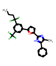 CCCC(F)(F)c1cc(-c2ccc(-c3nc(C)c(-c4ccccc4)[nH]3)o2)cc(C(F)(F)F)c1